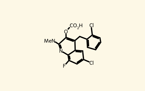 CNc1nc2c(F)cc(Cl)cc2c(Cc2ccccc2Cl)c1OC(=O)O